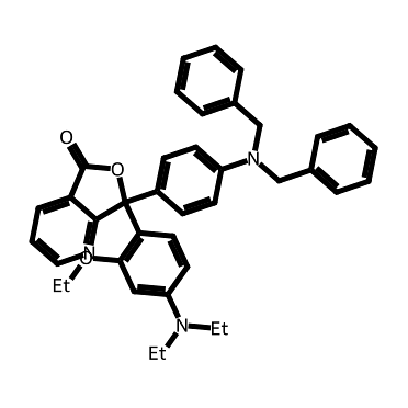 CCOc1cc(N(CC)CC)ccc1C1(c2ccc(N(Cc3ccccc3)Cc3ccccc3)cc2)OC(=O)c2cccnc21